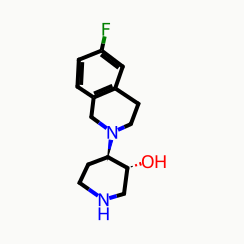 O[C@@H]1CNCC[C@H]1N1CCc2cc(F)ccc2C1